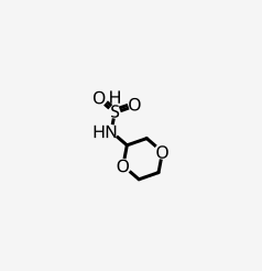 O=[SH](=O)NC1COCCO1